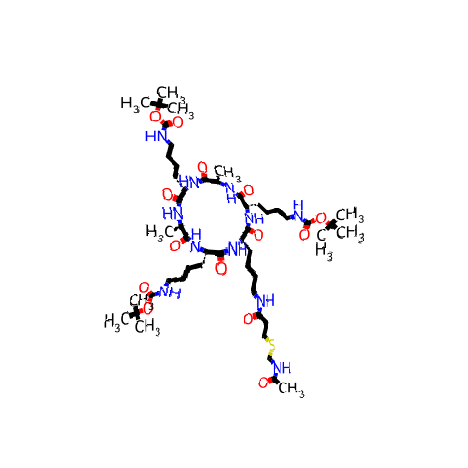 CC(=O)NCSCCC(=O)NCCCC[C@H]1NC(=O)[C@H](CCCCNC(=O)OC(C)(C)C)NC(=O)[C@@H](C)NC(=O)[C@H](CCCCNC(=O)OC(C)(C)C)NC(=O)[C@@H](C)NC(=O)[C@H](CCCCNC(=O)OC(C)(C)C)NC1=O